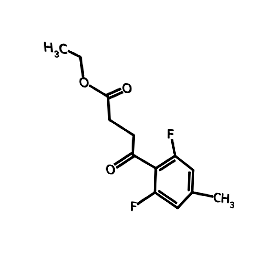 CCOC(=O)CCC(=O)c1c(F)cc(C)cc1F